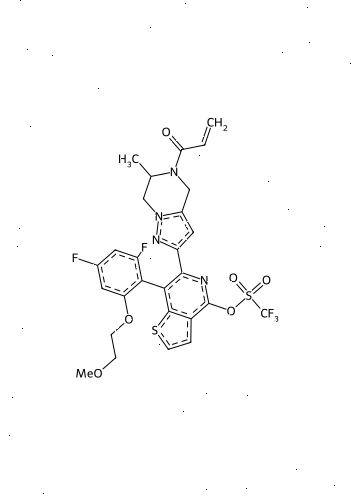 C=CC(=O)N1Cc2cc(-c3nc(OS(=O)(=O)C(F)(F)F)c4ccsc4c3-c3c(F)cc(F)cc3OCCOC)nn2CC1C